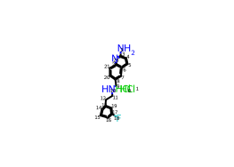 Cl.Cl.Nc1ccc2cc(CNCCc3cccc(F)c3)ccc2n1